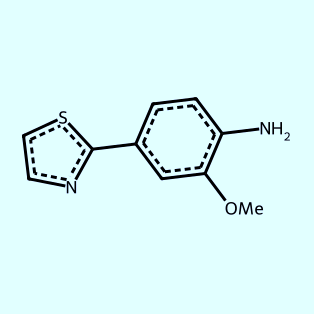 COc1cc(-c2nccs2)ccc1N